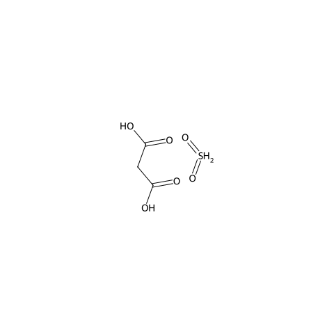 O=C(O)CC(=O)O.O=[SH2]=O